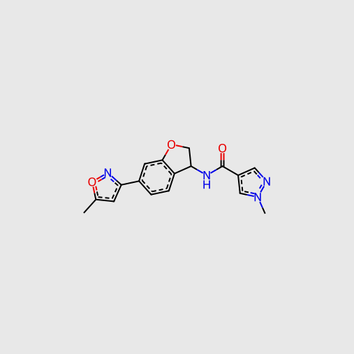 Cc1cc(-c2ccc3c(c2)OCC3NC(=O)c2cnn(C)c2)no1